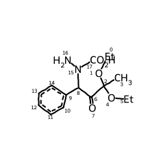 CCOC(C)(OCC)C(=O)C(c1ccccc1)N(N)C(=O)O